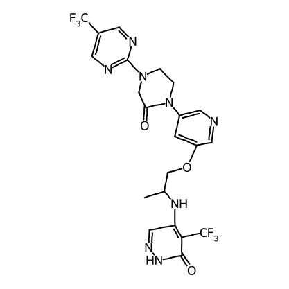 CC(COc1cncc(N2CCN(c3ncc(C(F)(F)F)cn3)CC2=O)c1)Nc1cn[nH]c(=O)c1C(F)(F)F